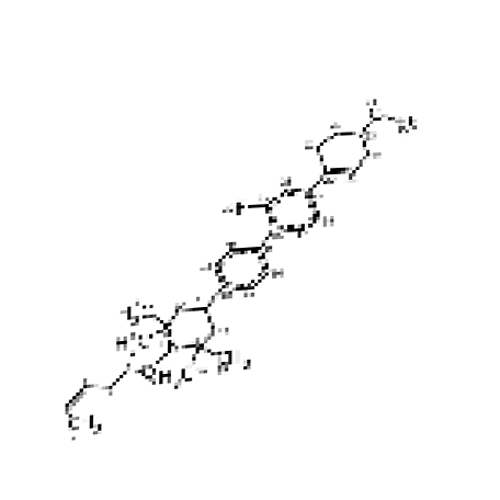 C/C=C\CCON1C(C)(C)CC(c2ccc(-c3ccc(C4=CCC(OCC)CC4)cc3F)cc2)CC1(C)C